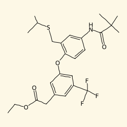 CCOC(=O)Cc1cc(Oc2ccc(NC(=O)C(C)(C)C)cc2CSC(C)C)cc(C(F)(F)F)c1